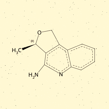 C[C@H]1OCc2c1c(N)nc1cc[c]cc21